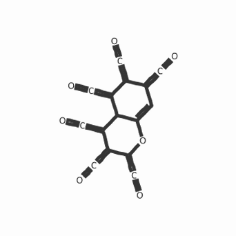 O=C=C1C=C2OC(=C=O)C(=C=O)C(=C=O)C2C(=C=O)C1=C=O